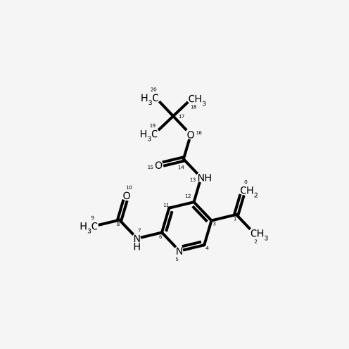 C=C(C)c1cnc(NC(C)=O)cc1NC(=O)OC(C)(C)C